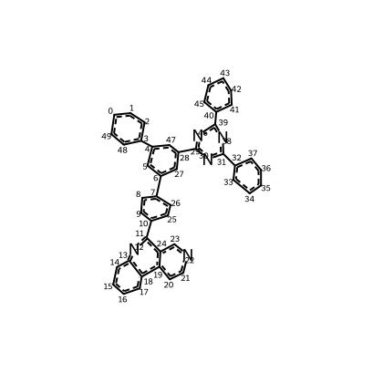 c1ccc(-c2cc(-c3ccc(-c4nc5ccccc5c5ccncc45)cc3)cc(-c3nc(-c4ccccc4)nc(-c4ccccc4)n3)c2)cc1